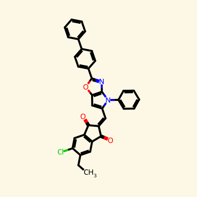 CCc1cc2c(cc1Cl)C(=O)/C(=C\c1cc3oc(-c4ccc(-c5ccccc5)cc4)nc3n1-c1ccccc1)C2=O